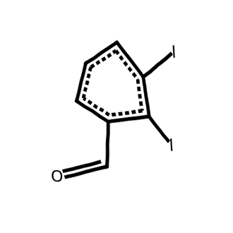 O=Cc1cccc(I)c1I